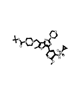 COc1ncc(-c2nc(N3CCOCC3)nc3c(CN4CCN(C(=O)OC(C)(C)C)CC4)c(C)sc23)cc1NS(=O)(=O)C1CC1